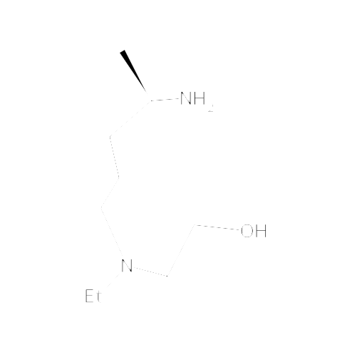 CCN(CCO)CCC[C@@H](C)N